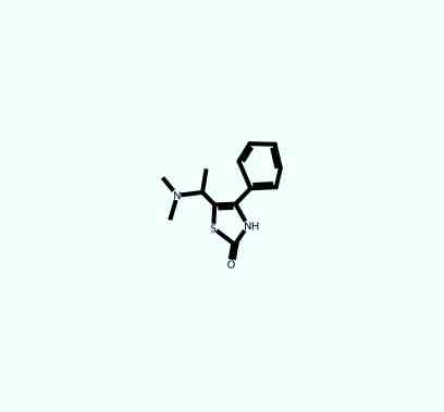 CC(c1sc(=O)[nH]c1-c1ccccc1)N(C)C